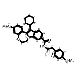 COc1ccc2c(c1)OCCn1c-2c(C2CCCCC2)c2ccc(C(=O)N[C@@H](Cc3ccc(NC(C)=O)cc3)C(=O)O)cc21